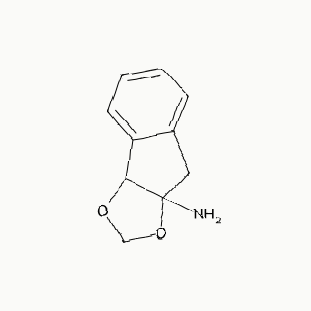 NC12Cc3ccccc3C1OCO2